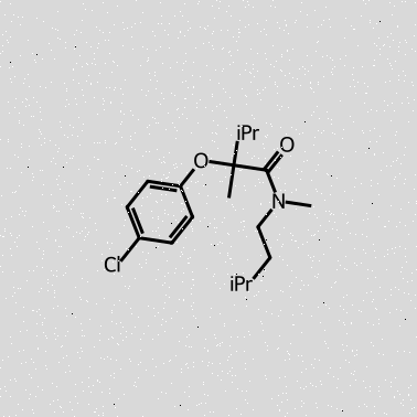 CC(C)CCN(C)C(=O)C(C)(Oc1ccc(Cl)cc1)C(C)C